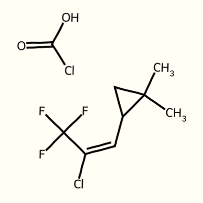 CC1(C)CC1/C=C(/Cl)C(F)(F)F.O=C(O)Cl